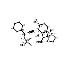 CCCCC1[C@H]2[C@H](C#C[C@H](O[Si](C)(C)C(C)(C)C)C3CCCCC3)[C@@H](O)CC[C@H]2C12OCCO2